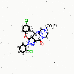 CCOC(=O)N1CCN(C(=O)c2nn(-c3ccccc3Cl)c(Oc3ccc(Cl)cc3)c2C(N)C(C)CC)CC1